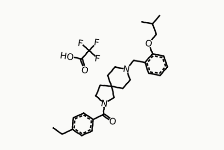 CCc1ccc(C(=O)N2CCC3(CCN(Cc4ccccc4OCC(C)C)CC3)C2)cc1.O=C(O)C(F)(F)F